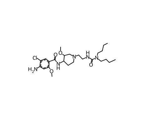 CCCCN(CCCC)C(=O)NCCN1CCC(NC(=O)c2cc(Cl)c(N)cc2OC)C(OC)C1